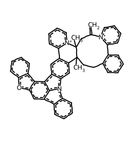 C=C1CC2(C)[n+]3ccccc3-c3cc4c5c6c(cc7c8ccccc8n(c4cc3C2(C)CCc2ccccc2-c2cccc[n+]21)c75)oc1ccccc16